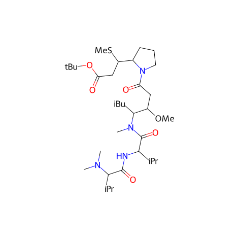 CCC(C)C(C(CC(=O)N1CCCC1C(CC(=O)OC(C)(C)C)SC)OC)N(C)C(=O)C(NC(=O)C(C(C)C)N(C)C)C(C)C